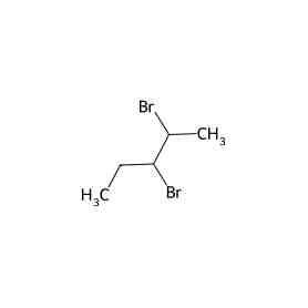 CCC(Br)C(C)Br